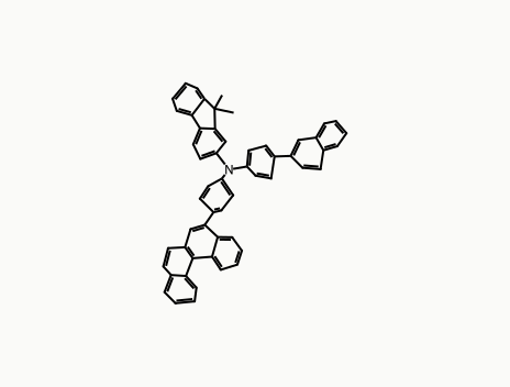 CC1(C)c2ccccc2-c2ccc(N(c3ccc(-c4ccc5ccccc5c4)cc3)c3ccc(-c4cc5ccc6ccccc6c5c5ccccc45)cc3)cc21